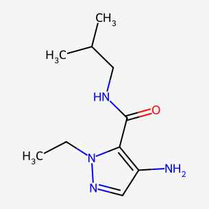 CCn1ncc(N)c1C(=O)NCC(C)C